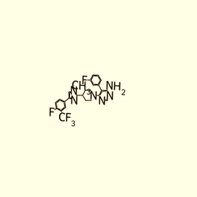 Cn1cc(-c2ccc(F)c(C(F)(F)F)c2)nc1C1CCN(c2ncnc(N)c2-c2cccc(F)c2)CC1